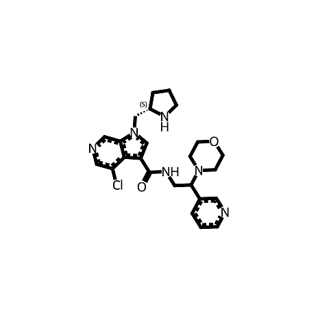 O=C(NCC(c1cccnc1)N1CCOCC1)c1cn(C[C@@H]2CCCN2)c2cncc(Cl)c12